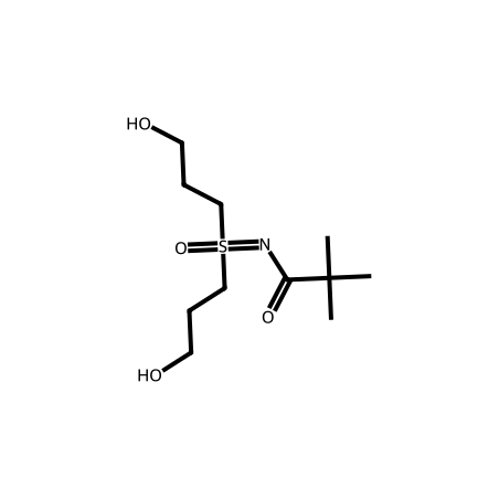 CC(C)(C)C(=O)N=S(=O)(CCCO)CCCO